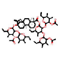 C=C1C[C@@]23CC[C@H]4[C@@](C)(CCC[C@@]4(C)C(=O)OC4OC(CC)C(C)C(OC5OC(CC)C(C)C(C)C5OC(C)=O)C4OC4OC(CC)C(C)C(C)C4OC(C)=O)[C@@H]2CCC1(OC1OC(CC)C(C)C(C)C1OC1OC(CC)C(C)C(C)C1OC(C)=O)C3